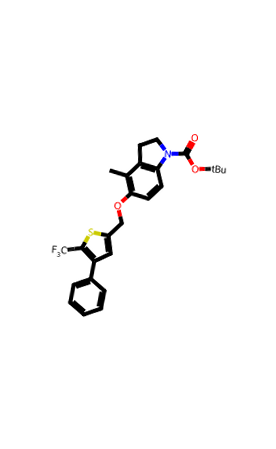 Cc1c(OCc2cc(-c3ccccc3)c(C(F)(F)F)s2)ccc2c1CCN2C(=O)OC(C)(C)C